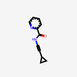 O=C(NC#CC1CC1)c1ccccn1